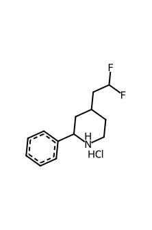 Cl.FC(F)CC1CCNC(c2ccccc2)C1